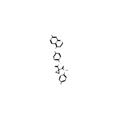 CN(C(=O)C1(C(=O)Nc2ccc(Oc3ccnc4cc(Br)ccc34)cc2)CC1)c1ccc(F)cc1